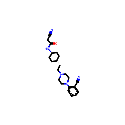 N#CCC(=O)N[C@H]1CC[C@H](CCN2CCN(c3ccccc3C#N)CC2)CC1